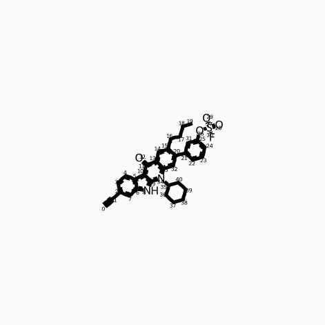 C#Cc1ccc2c(c1)[nH]c1c2c(=O)c2cc(CCCC)c(-c3cccc(OS(=O)(=O)F)c3)cc2n1C1CCCCC1